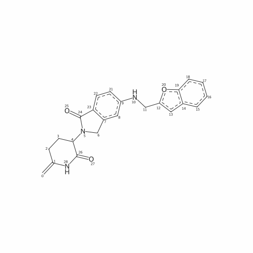 C=C1CCC(N2Cc3cc(NCc4cc5ccccc5o4)ccc3C2=O)C(=O)N1